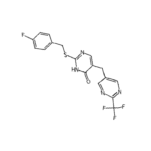 O=c1[nH]c(SCc2ccc(F)cc2)ncc1Cc1cnc(C(F)(F)F)nc1